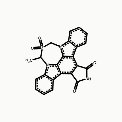 CC1n2c3ccccc3c3c4c(c5c6ccccc6n(c5c32)CS1(=O)=O)C(=O)NC4=O